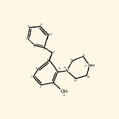 Oc1cccc(Cc2ccccc2)c1N1CCNCC1